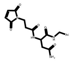 CC(=O)CNC(=O)C(CC(N)=O)NC(=O)CCN1C(=O)C=CC1=O